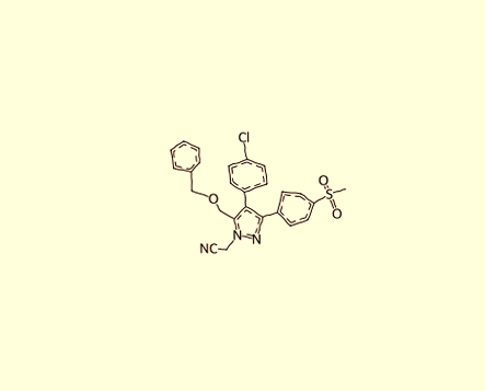 CS(=O)(=O)c1ccc(-c2nn(CC#N)c(COCc3ccccc3)c2-c2ccc(Cl)cc2)cc1